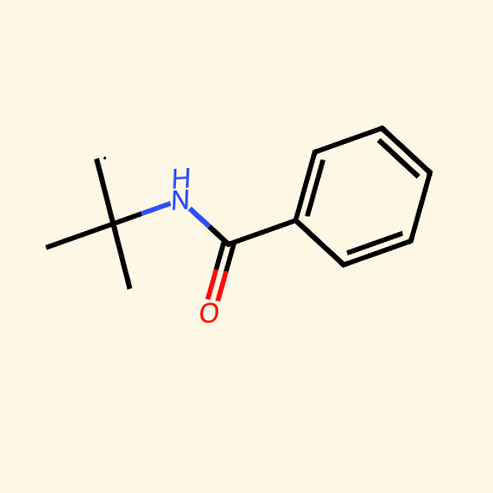 [CH2]C(C)(C)NC(=O)c1ccccc1